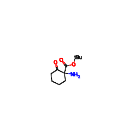 CC(C)(C)OC(=O)C1(N)CCCCC1=O